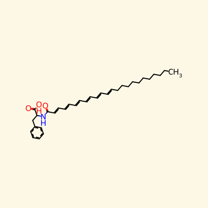 CCCCCCCCCCCC=CC=CC=CC=CC=CC=CC(=O)NC(Cc1ccccc1)C(=O)O